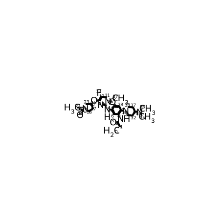 C=CC(=O)Nc1cc(Nc2ncc(F)c(O[C@H]3CCN([S+](C)[O-])C3)n2)c(OC)cc1N1CCC(N(C)C)CC1